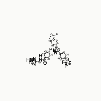 CC(C)(C)C1CCC(c2cc(-c3ccc(OC(F)(F)F)cc3)nn2Cc2ccc(C(=O)NCc3nn[nH]n3)cc2)CC1